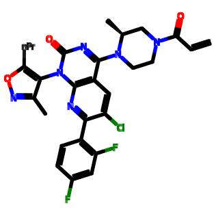 C=CC(=O)N1CCN(c2nc(=O)n(-c3c(C)noc3CCC)c3nc(-c4ccc(F)cc4F)c(Cl)cc23)[C@@H](C)C1